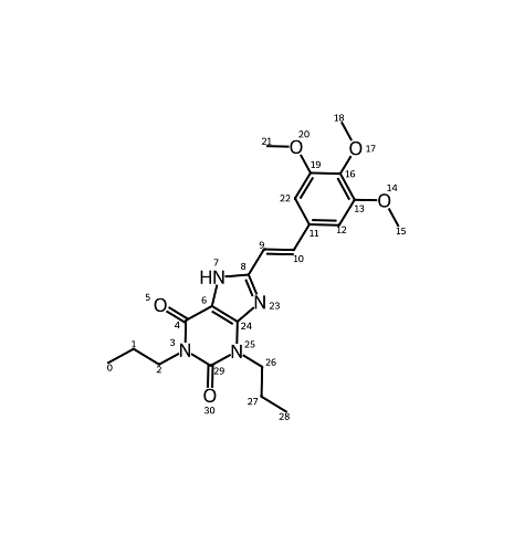 CCCn1c(=O)c2[nH]c(C=Cc3cc(OC)c(OC)c(OC)c3)nc2n(CCC)c1=O